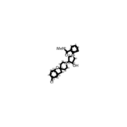 CNC(=O)c1ccccc1N1CC(O)C(N2CCC3(CC2)Cc2cc(Cl)ccc2O3)C1